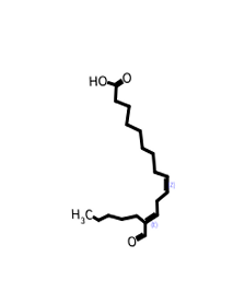 CCCCC/C(C=O)=C\C/C=C\CCCCCCCC(=O)O